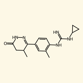 Cc1cc(C2=NNC(=O)CC2C)ccc1NC(=N)NC1CC1